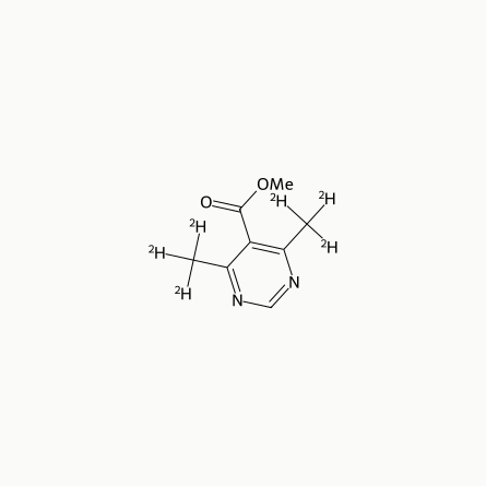 [2H]C([2H])([2H])c1ncnc(C([2H])([2H])[2H])c1C(=O)OC